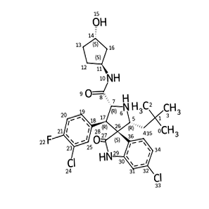 CC(C)(C)C[C@H]1N[C@@H](C(=O)N[C@H]2CC[C@H](O)C2)[C@H](c2ccc(F)c(Cl)c2)[C@@]12C(=O)Nc1cc(Cl)ccc12